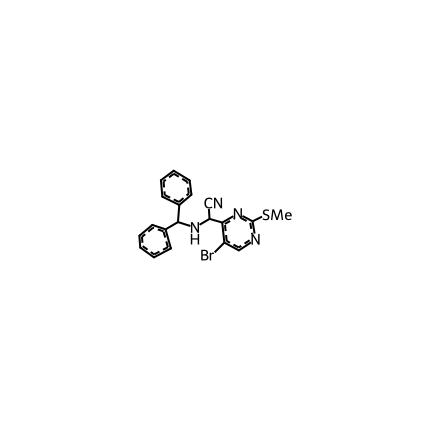 CSc1ncc(Br)c(C(C#N)NC(c2ccccc2)c2ccccc2)n1